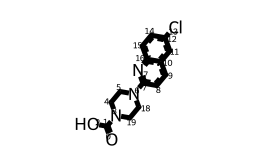 O=C(O)N1CCN(c2ccc3cc(Cl)ccc3n2)CC1